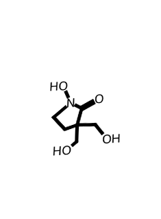 O=C1N(O)CCC1(CO)CO